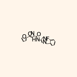 O=C(Nc1cnn(Cc2ccccc2F)c1)c1cc(-c2ccco2)on1